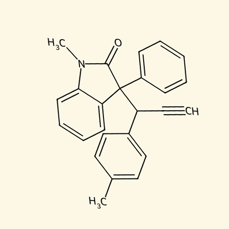 C#CC(c1ccc(C)cc1)C1(c2ccccc2)C(=O)N(C)c2ccccc21